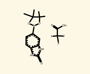 CC1(C)OB(c2ccc3[nH]c(=O)[nH]c3c2)OC1(C)C.O=C(O)C(F)(F)F